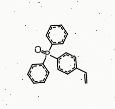 C=Cc1ccc(P(=O)(c2ccccc2)c2ccccc2)cc1